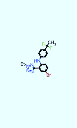 CCn1nnc(-c2cc(Br)ccc2Nc2ccc(C(C)(F)F)cc2)n1